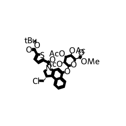 COC(=O)[C@H]1O[C@@H](Oc2cc3c(c4ccccc24)[C@H](CCl)CN3C(=O)c2ccc(C(=O)OC(C)(C)C)s2)[C@H](OC(C)=O)[C@@H](OC(C)=O)[C@@H]1OC(C)=O